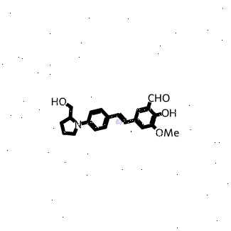 COc1cc(/C=C/c2ccc(N3CCCC3CO)cc2)cc(C=O)c1O